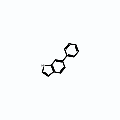 [c]1c(-c2ccccc2)ccc2cc[nH]c12